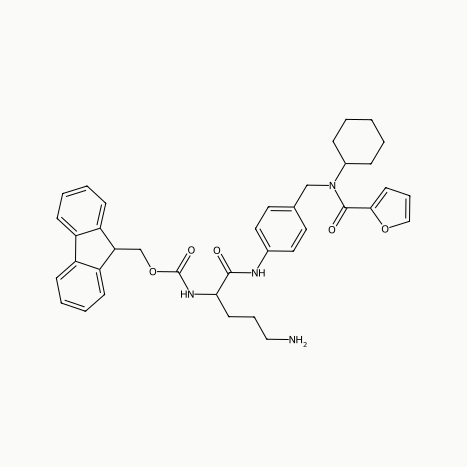 NCCCC(NC(=O)OCC1c2ccccc2-c2ccccc21)C(=O)Nc1ccc(CN(C(=O)c2ccco2)C2CCCCC2)cc1